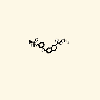 COC(=O)C1CCc2ccc(Oc3cccc(NC(=O)C4CC4)c3)cc2C1